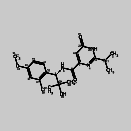 CN(C)c1nc(C(=O)N[C@@H](c2ccc(OC(F)(F)F)cc2Cl)C(C)(C)O)cc(=O)[nH]1